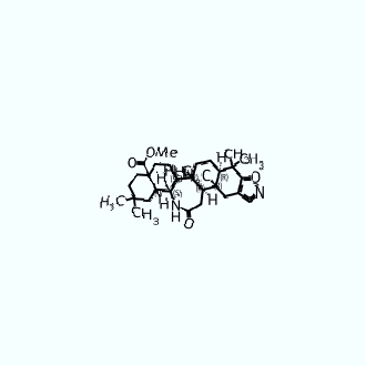 COC(=O)C12CC[C@@H]3[C@H](NC(=O)C[C@H]4[C@@]3(C)CC[C@H]3C(C)(C)c5oncc5C[C@]43C)[C@@H]1CC(C)(C)CC2